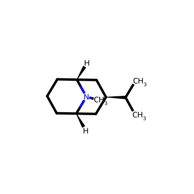 CC(C)[C@@H]1C[C@H]2CCC[C@@H](C1)N2C